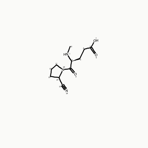 CN[C@@H](CCC(=O)O)C(=O)N1CCCC1C#N